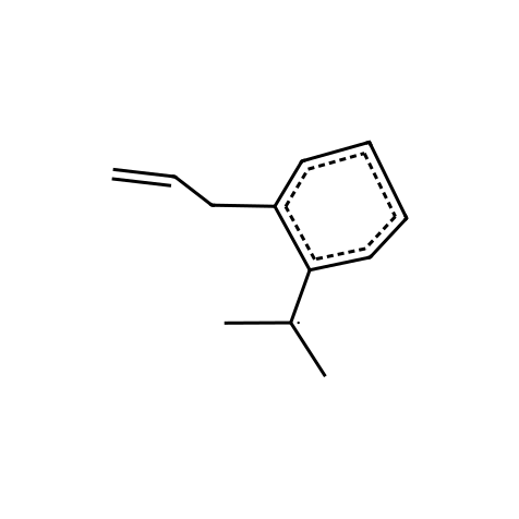 C=CCc1ccccc1[C](C)C